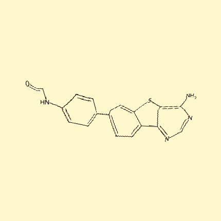 Nc1ncnc2c1sc1cc(-c3ccc(NC=O)cc3)ccc12